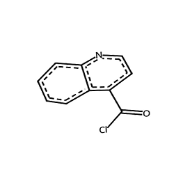 O=C(Cl)c1ccnc2ccccc12